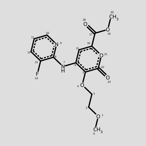 COCCOc1c(Nc2ncccc2F)cc(C(=O)OC)oc1=O